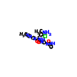 Cc1cc(C[C@@H](NC(=O)N2CCC(N3Cc4ccccc4NC3=O)CC2)C(=O)N2CCC(N3CCN(C)CC3)CC2)cc(Cl)c1N